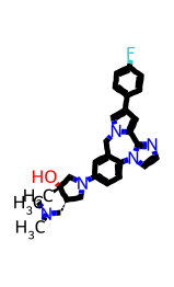 CN(C)C[C@H]1CN(c2ccc3c(c2)Cn2cc(-c4ccc(F)cc4)cc2-c2nccn2-3)C[C@@]1(C)O